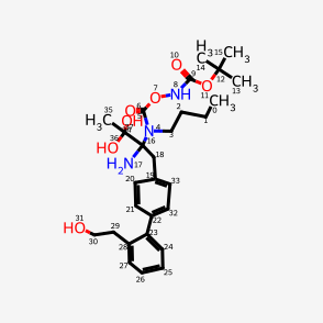 CCCCN(C(=O)ONC(=O)OC(C)(C)C)C(N)(Cc1ccc(-c2ccccc2CCO)cc1)C(C)(O)O